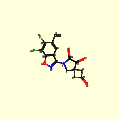 O=Cc1cc2c(N3CC4(CC(=O)C4)C(=O)C3=O)noc2c(F)c1F